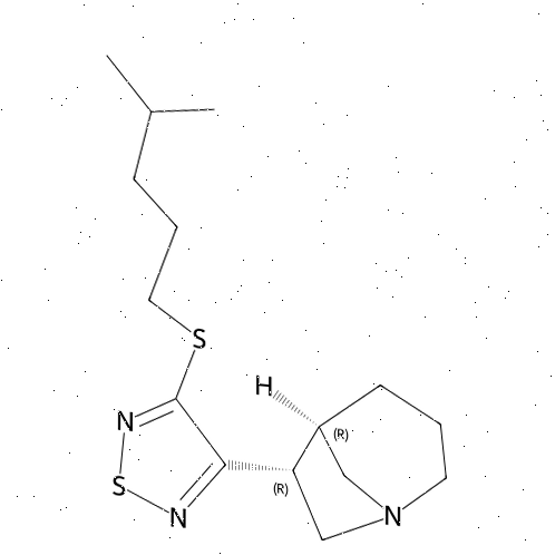 CC(C)CCCSc1nsnc1[C@H]1CN2CCC[C@H]1C2